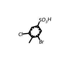 Cc1c(Cl)cc(S(=O)(=O)O)cc1Br